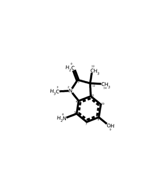 C=C1N(C)c2c(N)cc(O)cc2C1(C)C